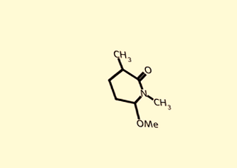 COC1CCC(C)C(=O)N1C